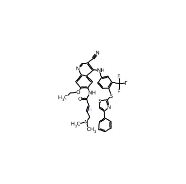 CCOc1cc2ncc(C#N)c(Nc3ccc(Sc4nc(-c5ccccc5)cs4)c(C(F)(F)F)c3)c2cc1NC(=O)/C=C/CN(C)C